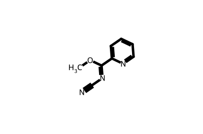 CO/C(=N\C#N)c1ccccn1